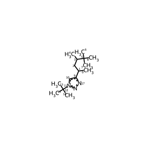 CC(CC(C)C(C)(C)C)c1cn(C(C)(C)C)nn1